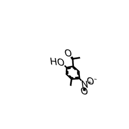 CC(=O)c1cc([N+](=O)[O-])c(C)cc1O